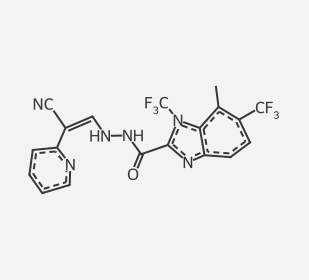 Cc1c(C(F)(F)F)ccc2nc(C(=O)NNC=C(C#N)c3ccccn3)n(C(F)(F)F)c12